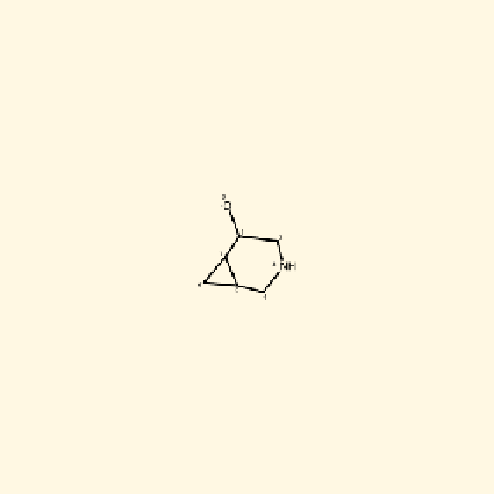 [O]C1CNCC2CC12